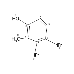 Cc1c(O)ccc(C(C)C)c1C(C)C